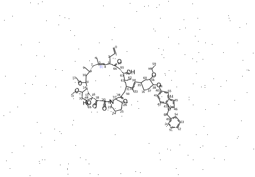 C=CCC1/C=C(\C)CC(C)CC(OC)C2CC(O)(C(=O)C(=O)N3CCCCC3C(=O)CC(C(C)=CC3CCC(Oc4ccc5c(ccn5Cc5ccccc5)c4)C(OCC)C3)C(C)C(O)CC1=O)C(C)CC2OC